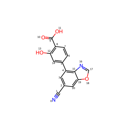 N#Cc1cc(-c2ccc(C(=O)O)c(O)c2)c2ncoc2c1